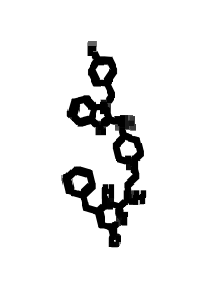 O=c1cc(Cc2ccccc2)[nH]c(NCCN2CCC(Nc3nc4ccccc4n3Cc3ccc(F)cc3)CC2)n1